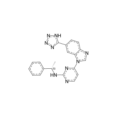 C[C@H](Nc1nccc(-n2cnc3ccc(-c4nnn[nH]4)cc32)n1)c1ccccc1